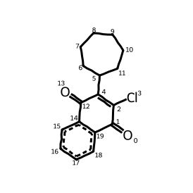 O=C1C(Cl)=C(C2CCCCCC2)C(=O)c2ccccc21